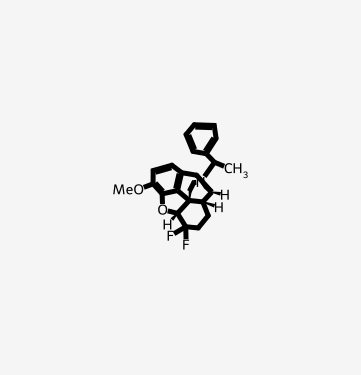 COc1ccc2c3c1O[C@H]1C(F)(F)CC[C@H]4[C@@H](C2)N(C(C)c2ccccc2)CC[C@@]341